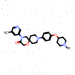 CC(C)N1CCC(Oc2ccc(N3CCC4(CC3)CN(c3cncc(C#N)c3)C(=O)CO4)cc2)CC1